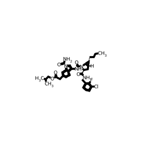 CCCC[C@H]1C2[C@H]1C[C@@H](C(=O)NCc1cccc(Cl)c1F)N2C(=O)Nc1cn(C(N)=O)c2cc(CC(=O)OCC(C)C)ccc12